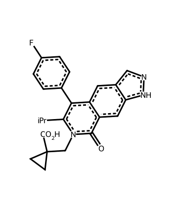 CC(C)c1c(-c2ccc(F)cc2)c2cc3cn[nH]c3cc2c(=O)n1CC1(C(=O)O)CC1